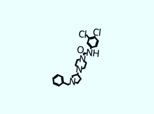 O=C(Nc1ccc(Cl)c(Cl)c1)N1CCN(C2CCN(Cc3ccccc3)C2)CC1